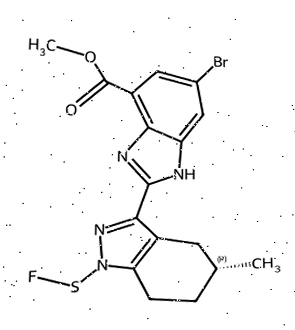 COC(=O)c1cc(Br)cc2[nH]c(-c3nn(SF)c4c3C[C@H](C)CC4)nc12